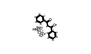 N=C=O.N=C=O.O=C(CC(=O)c1ccccc1)c1ccccc1